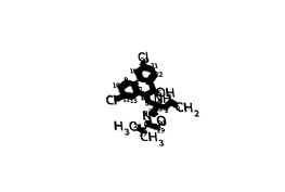 C=CC[C@@](N)(CC(c1cccc(Cl)c1)[C@@H](O)c1ccc(Cl)cc1)C1=N[C@@H](C(C)C)CO1